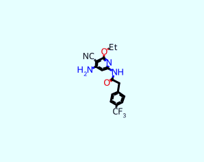 CCOc1nc(NC(=O)Cc2ccc(C(F)(F)F)cc2)cc(N)c1C#N